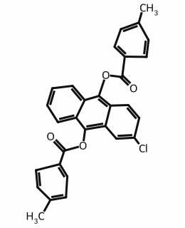 Cc1ccc(C(=O)Oc2c3ccccc3c(OC(=O)c3ccc(C)cc3)c3cc(Cl)ccc23)cc1